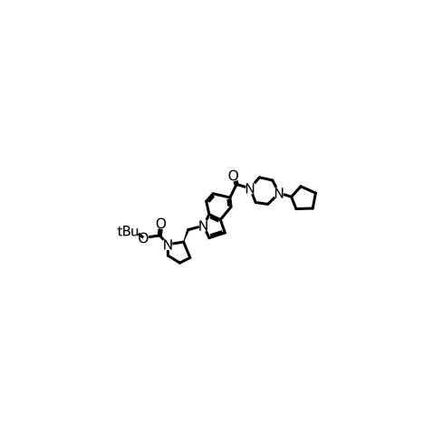 CC(C)(C)OC(=O)N1CCC[C@@H]1Cn1ccc2cc(C(=O)N3CCN(C4CCCC4)CC3)ccc21